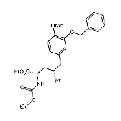 CCOC(=O)[C@H](C[C@H](Cc1ccc(OC)c(OCc2ccccc2)c1)C(C)C)NC(=O)OC(C)(C)C